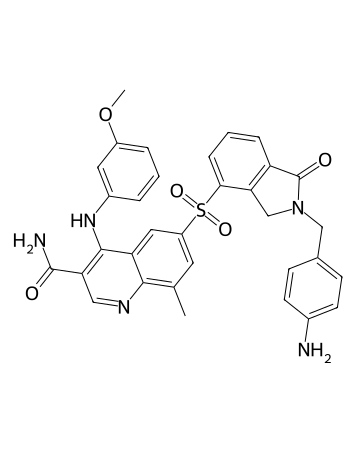 COc1cccc(Nc2c(C(N)=O)cnc3c(C)cc(S(=O)(=O)c4cccc5c4CN(Cc4ccc(N)cc4)C5=O)cc23)c1